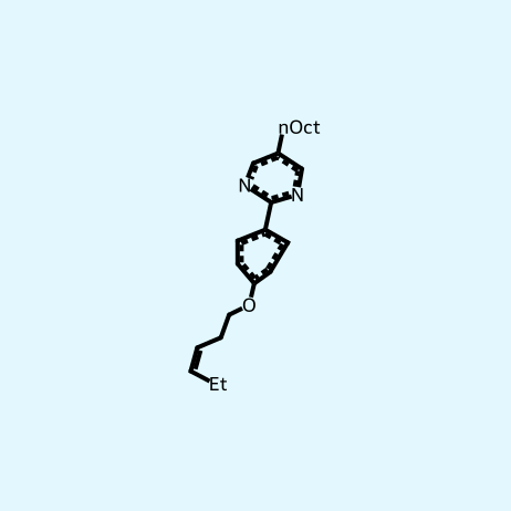 CC/C=C\CCOc1ccc(-c2ncc(CCCCCCCC)cn2)cc1